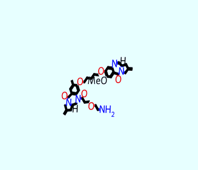 C=C1C[C@H]2CN(C(=O)CCOCCN)c3cc(OCCCCCOc4cc5c(cc4OC)C(=O)N4CC(=C)C[C@H]4C=N5)c(C)cc3C(=O)N2C1